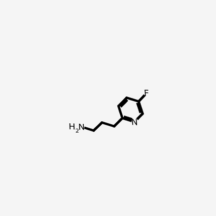 NCCCc1ccc(F)cn1